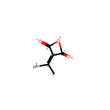 CCCC(C)=C1C(=O)OC1=O